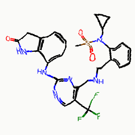 CS(=O)(=O)N(c1ccccc1CNc1nc(Nc2cccc3c2NC(=O)C3)ncc1C(F)(F)F)C1CC1